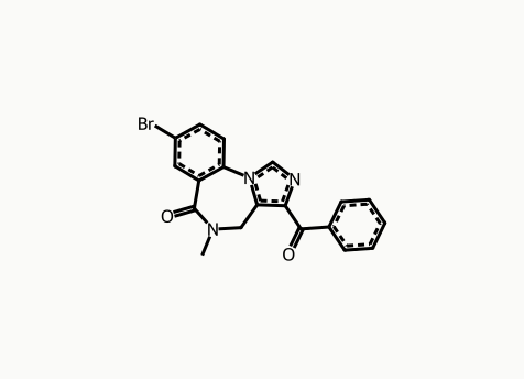 CN1Cc2c(C(=O)c3ccccc3)ncn2-c2ccc(Br)cc2C1=O